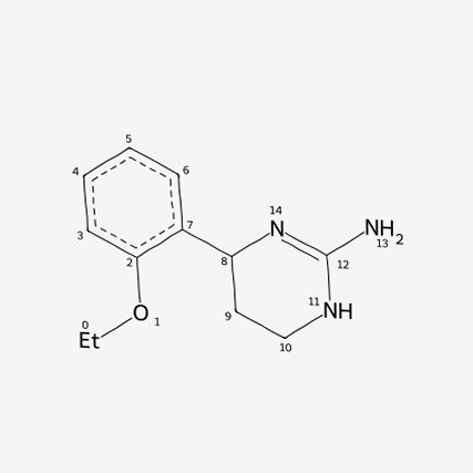 CCOc1ccccc1C1CCNC(N)=N1